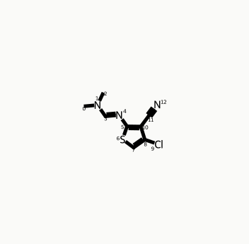 CN(C)C=Nc1scc(Cl)c1C#N